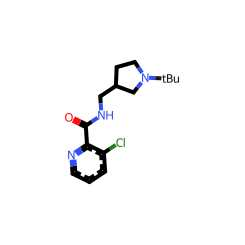 CC(C)(C)N1CCC(CNC(=O)c2ncccc2Cl)C1